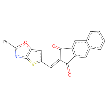 CC(C)c1nc2sc(C=C3C(=O)c4cc5ccccc5cc4C3=O)cc2o1